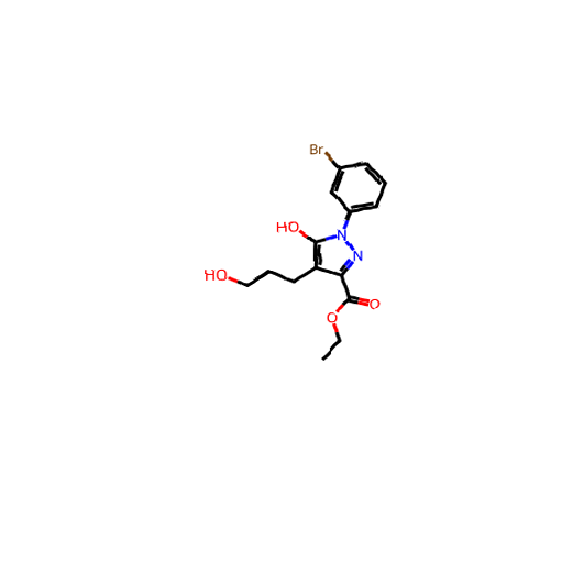 CCOC(=O)c1nn(-c2cccc(Br)c2)c(O)c1CCCO